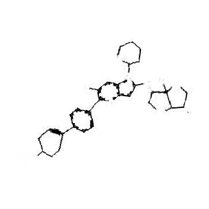 CCOC(=O)C1CC=C(c2ccc(-c3nc4cc(O[C@@H]5COC6[C@H](CC)COC65N)n(C5CCCCO5)c4cc3F)cc2)CC1